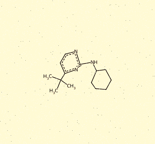 CC(C)(C)c1ccnc(NC2CCCCC2)n1